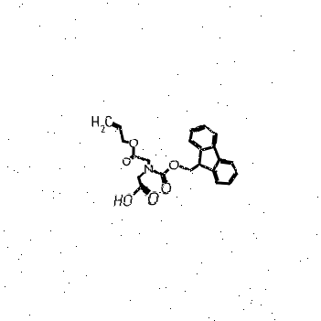 C=CCOC(=O)CN(CC(=O)O)C(=O)OCC1c2ccccc2-c2ccccc21